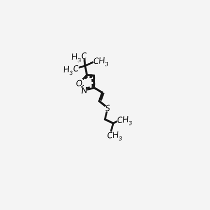 CC(C)CS/C=C/c1cc(C(C)(C)C)on1